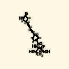 C[C@@H](O)[C@H](NC(=O)c1ccc(C#CC#CC2CNC(=O)C2)cc1)C(=O)NO